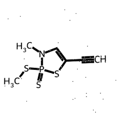 C#CC1=CN(C)P(=S)(SC)S1